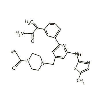 C=C(C(N)=O)c1cccc(-c2cc(CN3CCN(C(=O)C(C)C)CC3)cc(Nc3ncc(C)s3)n2)c1